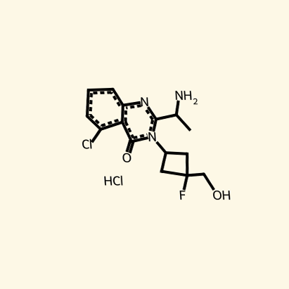 CC(N)c1nc2cccc(Cl)c2c(=O)n1C1CC(F)(CO)C1.Cl